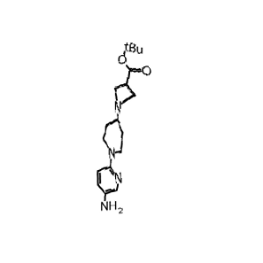 CC(C)(C)OC(=O)C1CN(C2CCN(c3ccc(N)cn3)CC2)C1